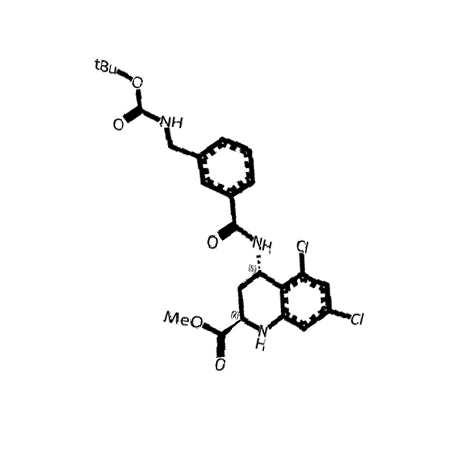 COC(=O)[C@H]1C[C@H](NC(=O)c2cccc(CNC(=O)OC(C)(C)C)c2)c2c(Cl)cc(Cl)cc2N1